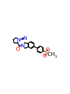 CS(=O)(=O)c1ccc(-c2ccc3c(c2)CN(C(=O)C2CCCN2C#N)C3)cc1